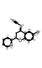 N#CN=C1CC(c2ccccn2)Oc2ccc(Br)cc21